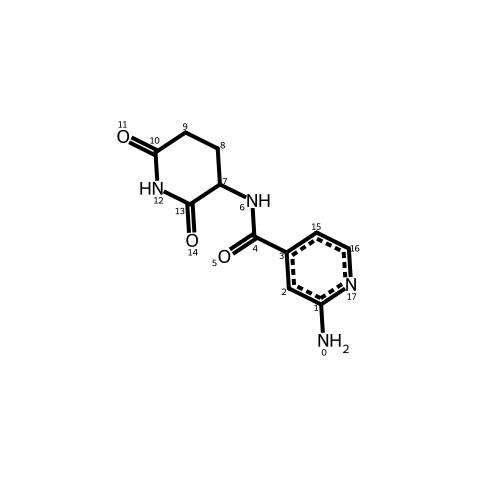 Nc1cc(C(=O)NC2CCC(=O)NC2=O)ccn1